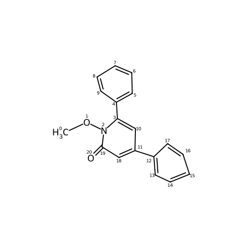 COn1c(-c2ccccc2)cc(-c2ccccc2)cc1=O